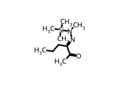 CCC/C(=N\N(C)[Si](C)(C)C)C(C)=O